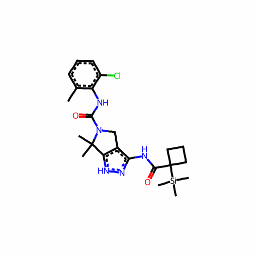 Cc1cccc(Cl)c1NC(=O)N1Cc2c(NC(=O)C3([Si](C)(C)C)CCC3)n[nH]c2C1(C)C